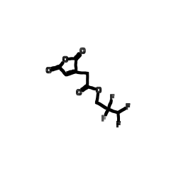 O=C1C=C(CC(=O)OCC(F)(F)C(F)F)C(=O)O1